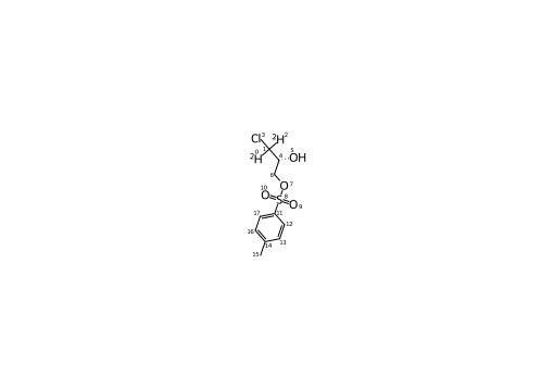 [2H]C([2H])(Cl)[C@H](O)COS(=O)(=O)c1ccc(C)cc1